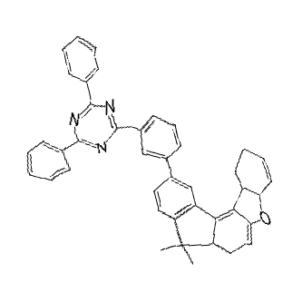 CC1(C)c2ccc(-c3cccc(-c4nc(-c5ccccc5)nc(-c5ccccc5)n4)c3)cc2C2=C3C(=CCC21)OC1C=CCCC31